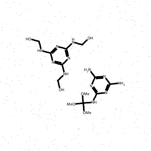 COC(Nc1nc(N)nc(N)n1)(OC)OC.OCNc1nc(NCO)nc(NCO)n1